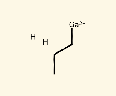 CC[CH2][Ga+2].[H-].[H-]